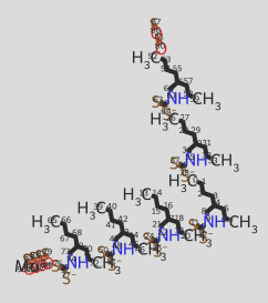 CCCCC(CCC)CNC(=S)[S-].CCCCC(CCC)CNC(=S)[S-].CCCCC(CCC)CNC(=S)[S-].CCCCC(CCC)CNC(=S)[S-].CCCCC(CCC)CNC(=S)[S-].CCCCC(CCC)CNC(=S)[S-].O=S.O=S.O=S.O=S.O=S.O=S.[Mo+6]